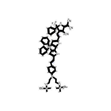 CC(C)(C)[Si](C)(C)OCCN(CCO[Si](C)(C)C(C)(C)C)c1ccc(/C=C/c2cc3c(s2)-c2sc(/C=C/C4=C(C#N)C(=C(C#N)C#N)OC4(c4ccccc4)C(F)(F)F)cc2[Si]3(c2ccccc2)c2ccccc2)cc1